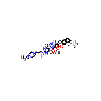 COc1nc(NCCCN2CCN(C)CC2)nc(OC)c1NC(=O)c1ccc(Oc2cc3c(cc2C)CCC3(C)C)o1